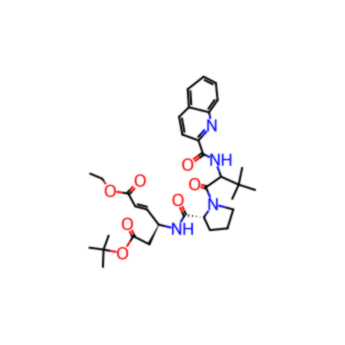 CCOC(=O)/C=C/[C@H](CC(=O)OC(C)(C)C)NC(=O)[C@H]1CCCN1C(=O)C(NC(=O)c1ccc2ccccc2n1)C(C)(C)C